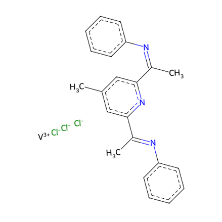 CC(=Nc1ccccc1)c1cc(C)cc(C(C)=Nc2ccccc2)n1.[Cl-].[Cl-].[Cl-].[V+3]